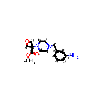 COC(=O)C1(N2CCN(Cc3cccc(N)c3)CC2)COC1